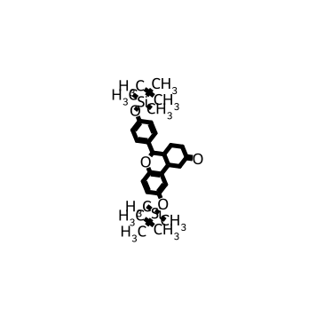 CC(C)(C)[Si](C)(C)Oc1ccc(C2Oc3ccc(O[Si](C)(C)C(C)(C)C)cc3C3CC(=O)CCC32)cc1